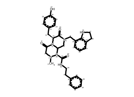 CN1CC(=O)N2C(CN(Cc3cccc4c3NCC4)C(=O)[C@@H]2Cc2ccc(O)cc2)N1C(=O)NCCc1ccccc1